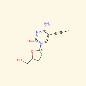 CC#Cc1cn([C@H]2CCC(CO)O2)c(=O)nc1N